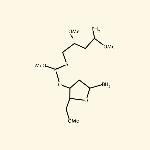 BC1CC(OP(OC)SC[C@@H](CC(P)OC)OC)C(COC)O1